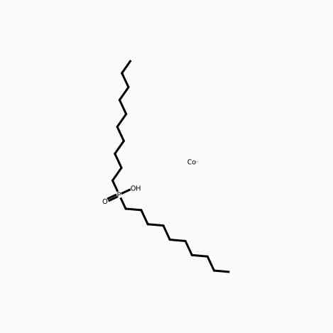 CCCCCCCCCCP(=O)(O)CCCCCCCCCC.[Co]